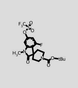 CN1C(=O)C2(CCN(C(=O)OC(C)(C)C)CC2)c2c(F)cc(OS(=O)(=O)C(F)(F)F)cc21